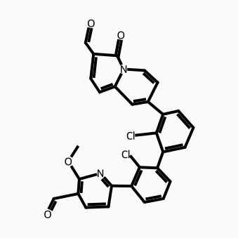 COc1nc(-c2cccc(-c3cccc(-c4ccn5c(=O)c(C=O)ccc5c4)c3Cl)c2Cl)ccc1C=O